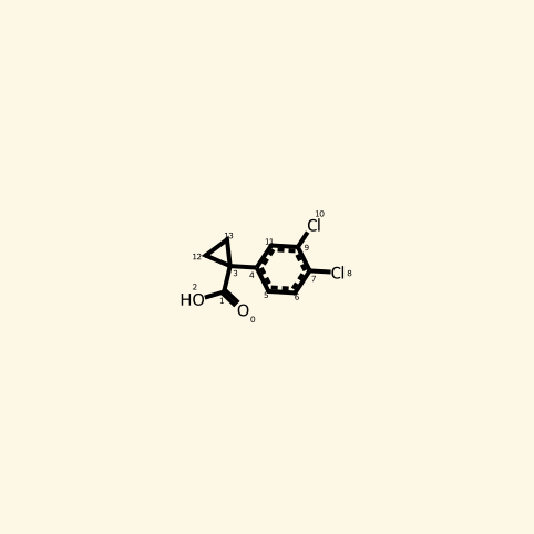 O=C(O)C1(c2ccc(Cl)c(Cl)c2)CC1